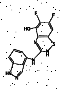 Oc1c(F)c(F)cc2c1N=C(Nc1cccc3[nH]ncc13)NS2